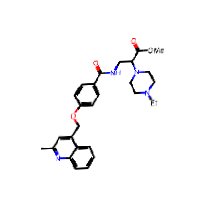 CCN1CCN(C(CNC(=O)c2ccc(OCc3cc(C)nc4ccccc34)cc2)C(=O)OC)CC1